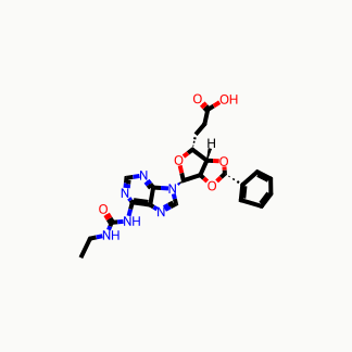 CCNC(=O)Nc1ncnc2c1ncn2[C@@H]1O[C@H](CCC(=O)O)[C@@H]2O[C@H](c3ccccc3)OC21